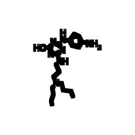 CCCCN(CCCC)CCCNc1nc(O)nc(Nc2ccc(N)cc2)n1